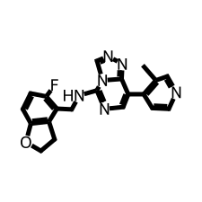 Cc1cnccc1-c1cnc(NCc2c(F)ccc3c2CCO3)n2cnnc12